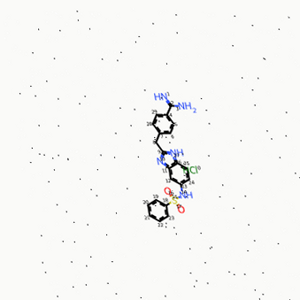 Cl.N=C(N)c1ccc(Cc2nc3cc(NS(=O)(=O)c4ccccc4)ccc3[nH]2)cc1